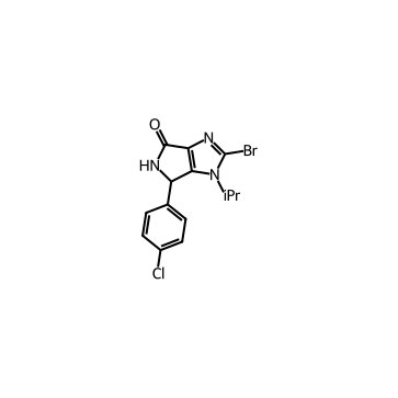 CC(C)n1c(Br)nc2c1C(c1ccc(Cl)cc1)NC2=O